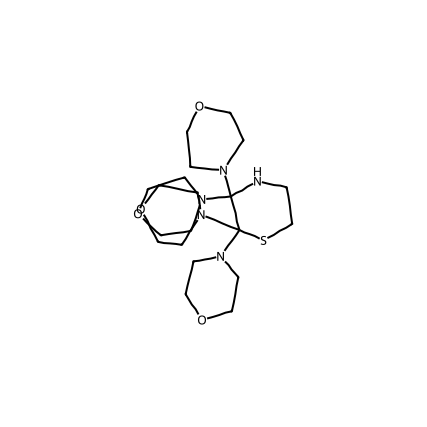 C1CSC(N2CCOCC2)(N2CCOCC2)C(N2CCOCC2)(N2CCOCC2)N1